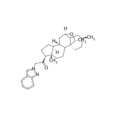 C[C@H]1CC[C@@]23C4CC[C@]5(C)[C@@H](C(=O)Cn6cc7ccccc7n6)CC[C@H]5[C@@H]4C[C@@H](O[C@@H]2C)C3C1